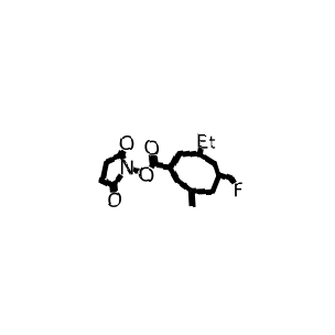 CCC1CC(CF)CC(C)CC(C(=O)ON2C(=O)CCC2=O)C1